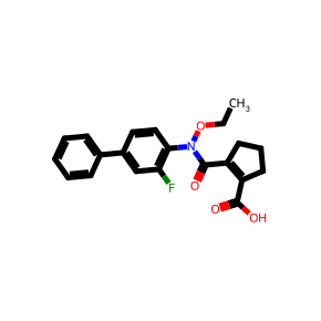 CCON(C(=O)C1=C(C(=O)O)CCC1)c1ccc(-c2ccccc2)cc1F